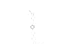 C=CC(=O)N(C)C1CCC(COc2ccc(C3CCC(C4CCC(CCCCC)CC4)CC3)cc2F)CC1